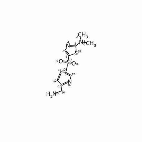 CN(C)c1ncc(S(=O)(=O)c2ccc(CN)nc2)s1